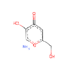 N.O=c1cc(CO)occ1O